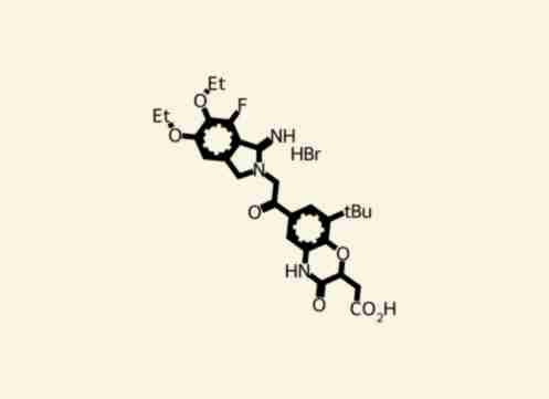 Br.CCOc1cc2c(c(F)c1OCC)C(=N)N(CC(=O)c1cc3c(c(C(C)(C)C)c1)OC(CC(=O)O)C(=O)N3)C2